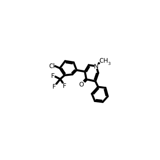 Cn1cc(-c2ccccc2)c(=O)c(-c2ccc(Cl)c(C(F)(F)F)c2)c1